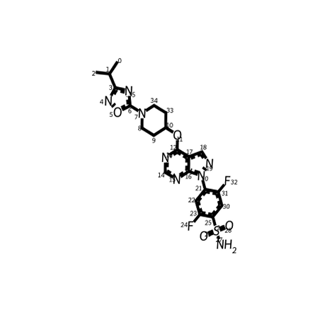 CC(C)c1noc(N2CCC(Oc3ncnc4c3cnn4-c3cc(F)c(S(N)(=O)=O)cc3F)CC2)n1